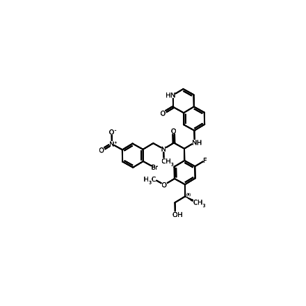 COc1cc(C(Nc2ccc3cc[nH]c(=O)c3c2)C(=O)N(C)Cc2cc([N+](=O)[O-])ccc2Br)c(F)cc1[C@@H](C)CO